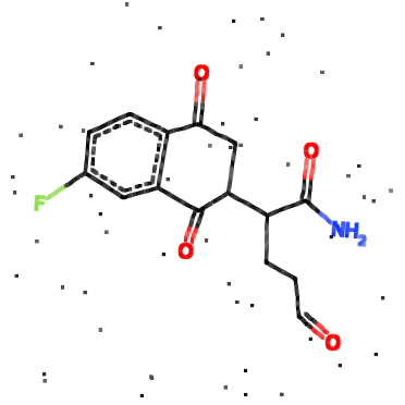 NC(=O)C(CCC=O)C1CC(=O)c2ccc(F)cc2C1=O